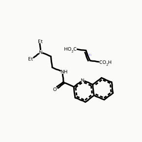 CCN(CC)CCNC(=O)c1ccc2ccccc2n1.O=C(O)/C=C/C(=O)O